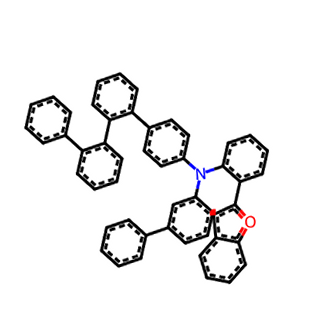 c1ccc(-c2cccc(N(c3ccc(-c4ccccc4-c4ccccc4-c4ccccc4)cc3)c3ccccc3-c3cc4ccccc4o3)c2)cc1